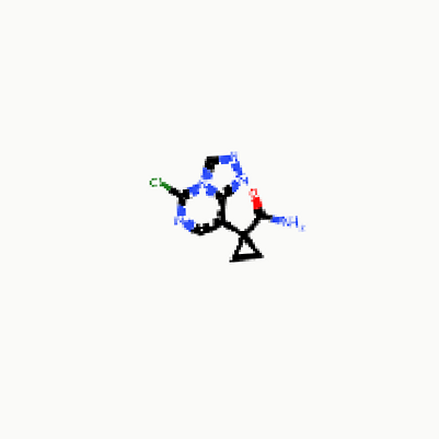 NC(=O)C1(c2cnc(Cl)n3cnnc23)CC1